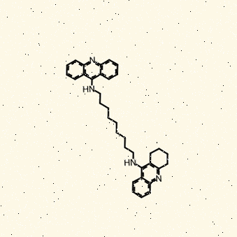 c1ccc2c(NCCCCCCCCCNc3c4ccccc4nc4ccccc34)c3c(nc2c1)CCCC3